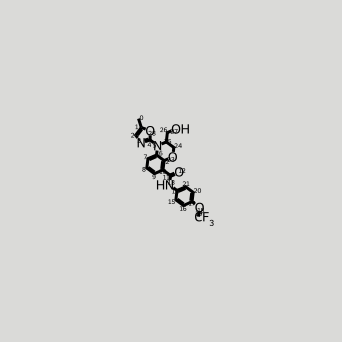 Cc1cnc(N2c3cccc(C(=O)Nc4ccc(OC(F)(F)F)cc4)c3OCC2CO)o1